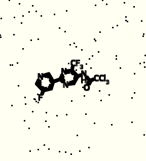 O=C(Nc1cnc(-c2cncc(F)c2)nc1C(F)(F)F)C(Cl)(Cl)Cl